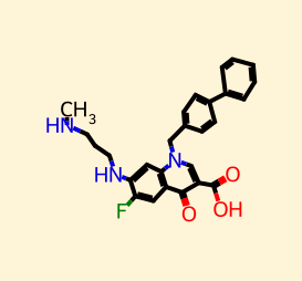 CNCCCNc1cc2c(cc1F)c(=O)c(C(=O)O)cn2Cc1ccc(-c2ccccc2)cc1